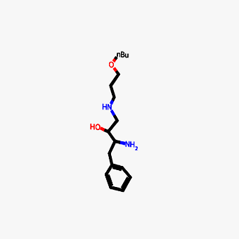 CCCCOCCCNCC(O)C(N)Cc1ccccc1